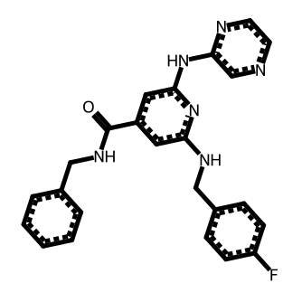 O=C(NCc1ccccc1)c1cc(NCc2ccc(F)cc2)nc(Nc2cnccn2)c1